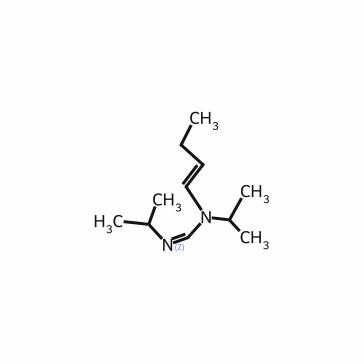 CCC=CN(/C=N\C(C)C)C(C)C